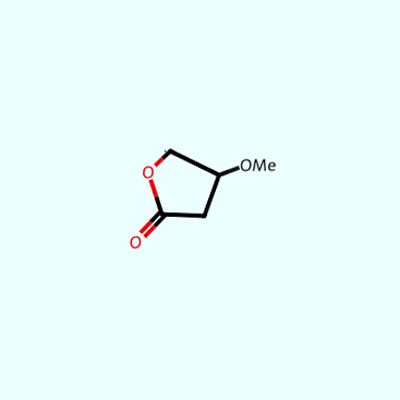 COC1[CH]OC(=O)C1